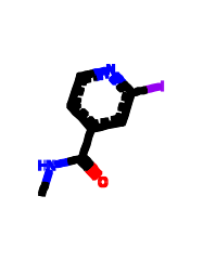 CNC(=O)c1ccnc(I)c1